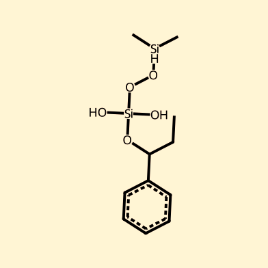 CCC(O[Si](O)(O)OO[SiH](C)C)c1ccccc1